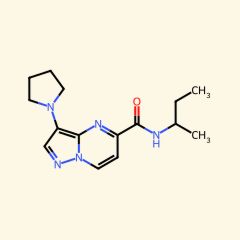 CCC(C)NC(=O)c1ccn2ncc(N3CCCC3)c2n1